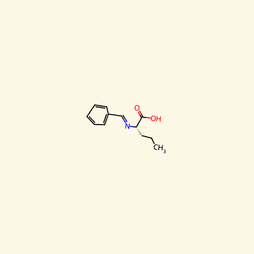 CCC[C@H](N=Cc1ccccc1)C(=O)O